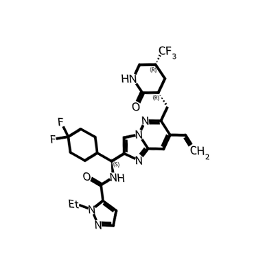 C=Cc1cc2nc([C@@H](NC(=O)c3ccnn3CC)C3CCC(F)(F)CC3)cn2nc1C[C@H]1C[C@@H](C(F)(F)F)CNC1=O